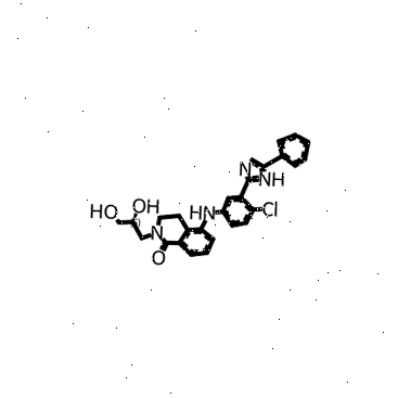 O=C1c2cccc(Nc3ccc(Cl)c(-c4ncc(-c5ccccc5)[nH]4)c3)c2CCN1C[C@H](O)CO